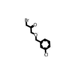 O=C(CBr)COCc1cccc(Cl)c1